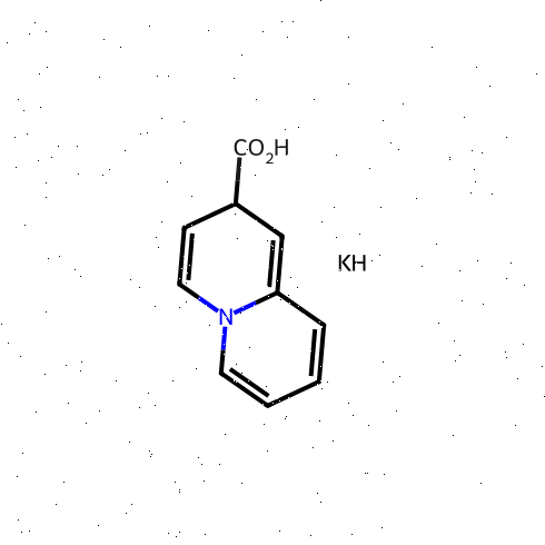 O=C(O)C1C=CN2C=CC=CC2=C1.[KH]